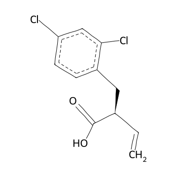 C=C[C@H](Cc1ccc(Cl)cc1Cl)C(=O)O